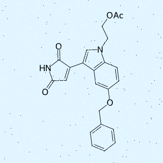 CC(=O)OCCn1cc(C2=CC(=O)NC2=O)c2cc(OCc3ccccc3)ccc21